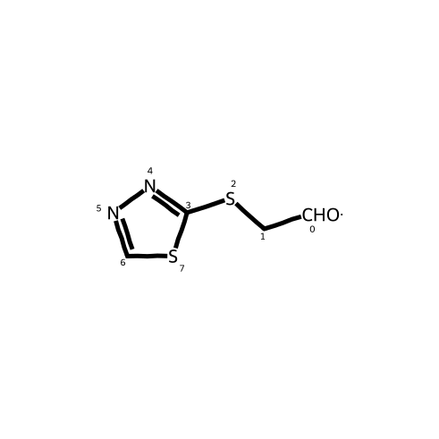 O=[C]CSc1nncs1